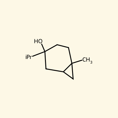 CC(C)C1(O)CCC2(C)CC2C1